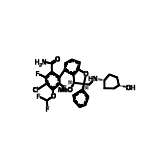 CO[C@H]1c2c(cccc2-c2c(F)c(OC(F)F)c(Cl)c(F)c2C(N)=O)O[C@]1(CN[C@H]1CC[C@@H](O)CC1)c1ccccc1